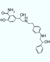 NC(=O)c1cc(C(O)CNCCc2ccc(NCC(O)c3ccccc3)cc2)ccc1O